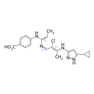 C/C=C(/N=C\C(Cl)=C(/C)Nc1cc(C2CC2)[nH]n1)Nc1ccc(C(=O)O)cc1